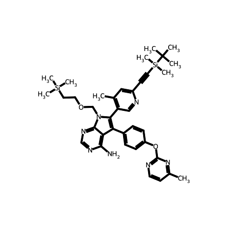 Cc1ccnc(Oc2ccc(-c3c(-c4cnc(C#C[Si](C)(C)C(C)(C)C)cc4C)n(COCC[Si](C)(C)C)c4ncnc(N)c34)cc2)n1